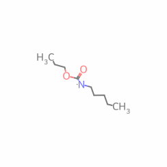 CCCCC[N]C(=O)OCCC